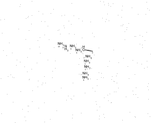 CO.N.N.N.N.N.N.N.N.N